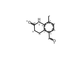 Cc1ccc(C=O)c2c1NC(=O)CC2